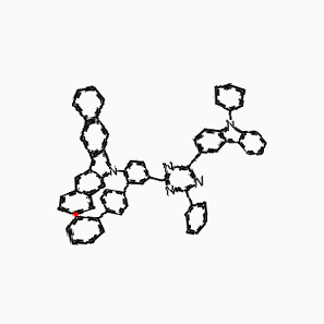 c1ccc(-c2ccc(-c3cc(-c4nc(-c5ccccc5)nc(-c5ccc6c(c5)c5ccccc5n6-c5ccccc5)n4)ccc3-n3c4cc5ccccc5cc4c4cc5ccccc5cc43)cc2)cc1